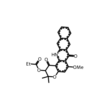 CCC(=O)OC1C(=O)c2c(cc(OC)c3c(=O)c4cc5ccccc5cc4[nH]c23)OC1(C)C